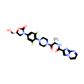 C[C@H](NC(=O)c1cn2cccnc2n1)C(=O)N1CCN(c2c(F)cc(N3C[C@H](CO)OC3=O)cc2F)CC1